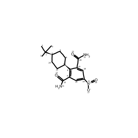 CC(C)(C)[C@H]1CC[C@@H](c2c(C(N)=O)cc([N+](=O)[O-])cc2C(N)=O)CC1